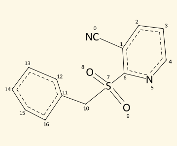 N#Cc1cccnc1S(=O)(=O)Cc1ccccc1